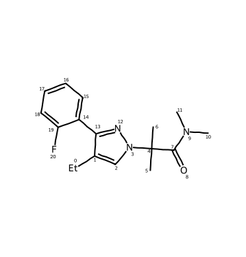 CCc1cn(C(C)(C)C(=O)N(C)C)nc1-c1ccccc1F